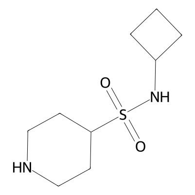 O=S(=O)(NC1CCC1)C1CCNCC1